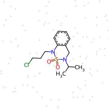 CC(C)N1Cc2ccccc2N(CCCCl)S1(=O)=O